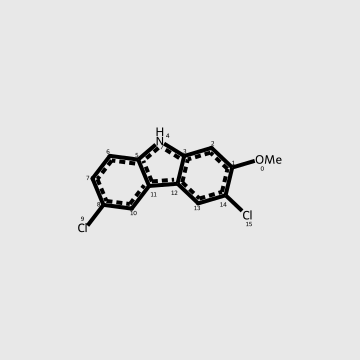 COc1cc2[nH]c3ccc(Cl)cc3c2cc1Cl